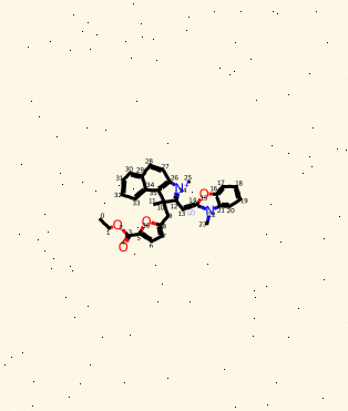 CCOC(=O)c1ccc(CC2(C)C(/C=C3\Oc4ccccc4N3C)=[N+](C)c3ccc4ccccc4c32)o1